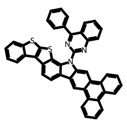 c1ccc(-c2nc(-n3c4cc5c6ccccc6c6ccccc6c5cc4c4ccc5c(sc6sc7ccccc7c65)c43)nc3ccccc23)cc1